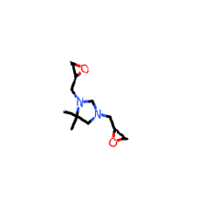 CC1(C)CN(CC2CO2)CN1CC1CO1